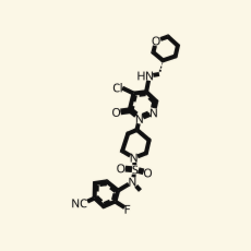 CN(c1ccc(C#N)cc1F)S(=O)(=O)N1CCC(n2ncc(NC[C@H]3CCCOC3)c(Cl)c2=O)CC1